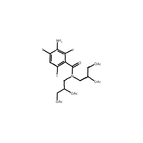 CC(=O)OCC(CN(CC(COC(C)=O)OC(C)=O)C(=O)c1c(I)cc(I)c(N)c1I)OC(C)=O